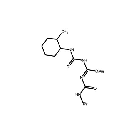 COC(=NC(=O)NC(C)C)NC(=O)NC1CCCCC1C